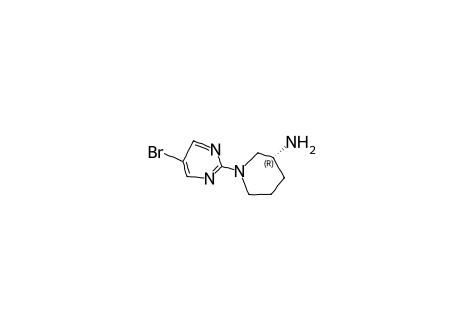 N[C@@H]1CCCN(c2ncc(Br)cn2)C1